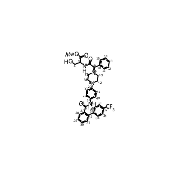 COC(=O)C(CO)NC(=O)C(c1ccccc1)N1CCN(c2ccc(NC(=O)c3ccccc3-c3ccc(C(F)(F)F)cc3)cc2)CC1